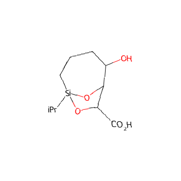 CC(C)[Si]12CCCC(O)C(O1)C(C(=O)O)O2